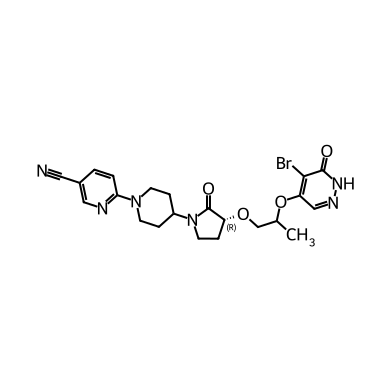 CC(CO[C@@H]1CCN(C2CCN(c3ccc(C#N)cn3)CC2)C1=O)Oc1cn[nH]c(=O)c1Br